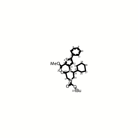 COC(=O)c1sc(-c2ccccc2)cc1N1C(=O)CN(C(=O)OC(C)(C)C)CC1C1CCCCC1